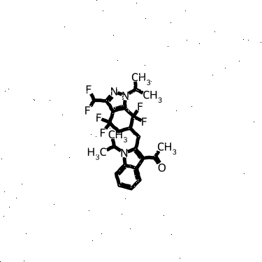 CC(=O)c1c(CC2CC(F)(F)c3c(C(F)F)nn(C(C)C)c3C2(F)F)n(C(C)C)c2ccccc12